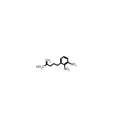 C=C(CCCc1cccc([N+](=O)[O-])c1[N+](=O)[O-])C(=O)O